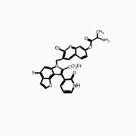 CCOC(=O)c1c(-c2ccc[nH]c2=O)c2c3occc3c(F)cc2n1Cc1cc2ccc(OC(=O)C(C)N)cc2nc1Cl